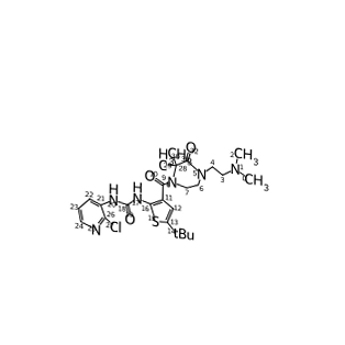 CN(C)CCN1CCN(C(=O)c2cc(C(C)(C)C)sc2NC(=O)Nc2cccnc2Cl)C(C)(C)C1=O